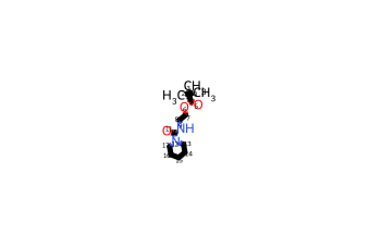 CC(C)(C)C(=O)OCCNC(=O)N1CCCCC1